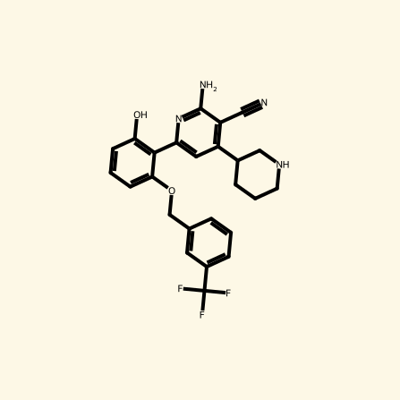 N#Cc1c(C2CCCNC2)cc(-c2c(O)cccc2OCc2cccc(C(F)(F)F)c2)nc1N